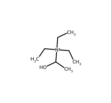 [CH2]C[N+](CC)(CC)C(C)O